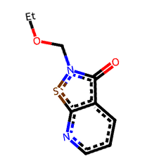 CCOCn1sc2ncccc2c1=O